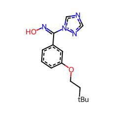 CC(C)(C)CCOc1cccc(/C(=N\O)n2cncn2)c1